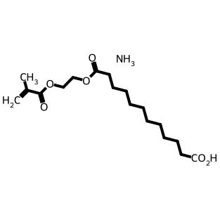 C=C(C)C(=O)OCCOC(=O)CCCCCCCCCCC(=O)O.N